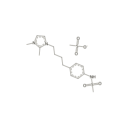 CS(=O)(=O)[O-].Cc1n(CCCCc2ccc(NS(C)(=O)=O)cc2)cc[n+]1C